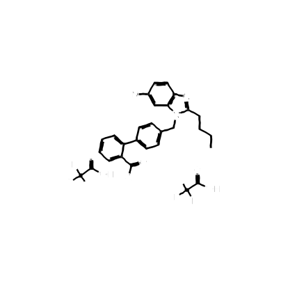 CCCCc1nc2ccc(N)cc2n1Cc1ccc(-c2ccccc2C(=O)O)cc1.O=C(O)C(F)(F)F.O=C(O)C(F)(F)F